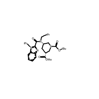 COC(=O)[C@@H]1C[C@H](N(CC(C)C)C(=O)c2nc3ccccc3n2C(C)C)CN(C(=O)OC(C)(C)C)C1